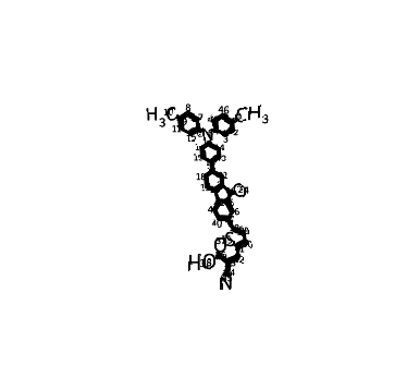 Cc1ccc(N(c2ccc(C)cc2)c2ccc(-c3ccc4c(c3)C(=O)c3cc(-c5ccc(C=C(C#N)C(=O)O)s5)ccc3-4)cc2)cc1